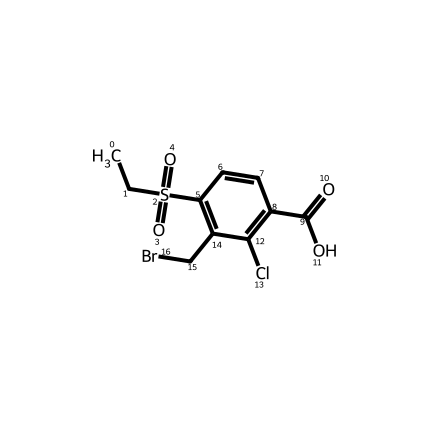 CCS(=O)(=O)c1ccc(C(=O)O)c(Cl)c1CBr